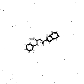 O=[C]C(CC(=O)c1cc2ccccc2o1)Cc1ccccc1